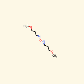 COCCC=NON=CCCOC